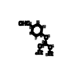 CCOB(OCC)Oc1ccc(C=O)cc1